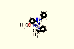 COc1cccc2c(NCc3ccccc3)nc(-n3c(C)cc4ccccc43)nc12